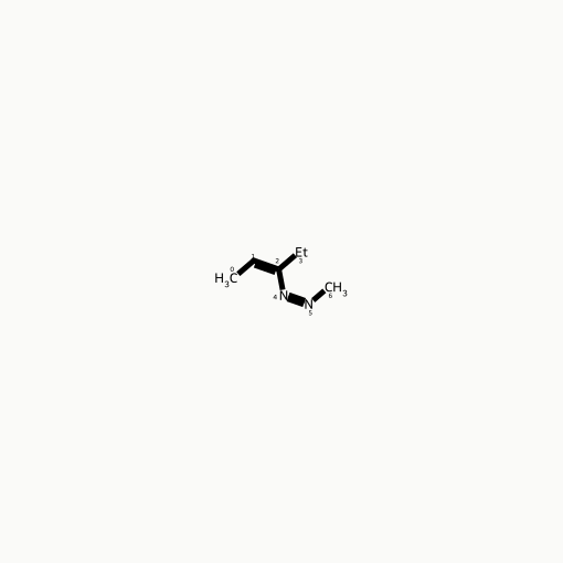 C/C=C(CC)\N=N/C